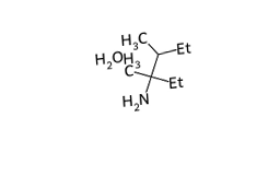 CCC(C)C(C)(N)CC.O